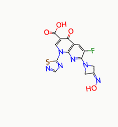 O=C(O)c1cn(-c2ncns2)c2nc(N3CC(=NO)C3)c(F)cc2c1=O